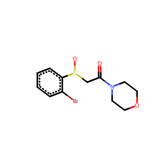 O=C(C[S+]([O-])c1ccccc1Br)N1CCOCC1